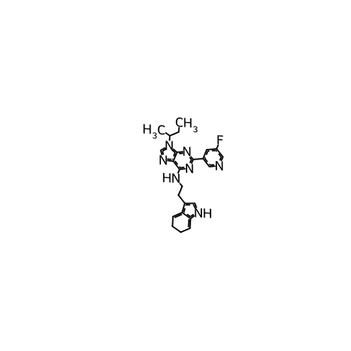 CCC(C)n1cnc2c(NCCc3c[nH]c4c3=CCCC=4)nc(-c3cncc(F)c3)nc21